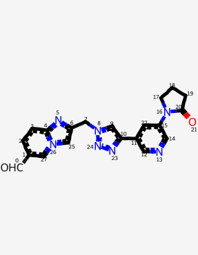 O=Cc1ccc2nc(Cn3cc(-c4cncc(N5CCCC5=O)c4)nn3)cn2c1